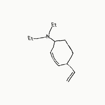 C=CC1C=CC(N(CC)CC)CC1